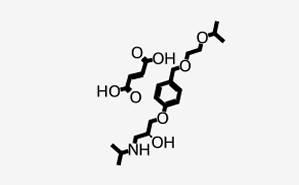 CC(C)NC[C@@H](O)COc1ccc(COCCOC(C)C)cc1.O=C(O)/C=C/C(=O)O